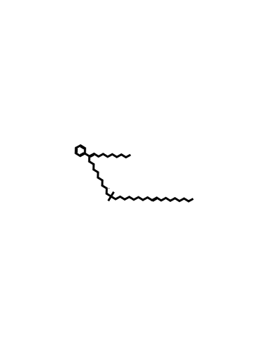 CCCCCCCCC=CCCCCCCCCC(C)(C)C[CH]CCCCCCCC(=CCCCCCCCC)c1ccccc1